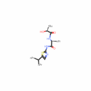 CCCC(CCC)c1cnc(NC(=O)[C@H](CCC)NC(=O)[C@@H](O)C(C)(C)C)s1